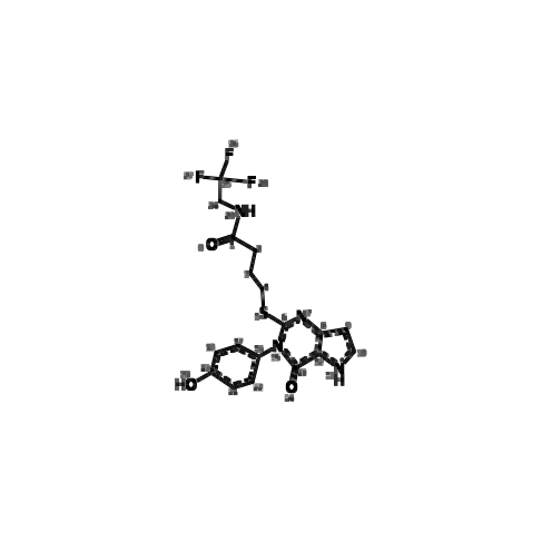 O=C(CCCSc1nc2cc[nH]c2c(=O)n1-c1ccc(O)cc1)NCC(F)(F)F